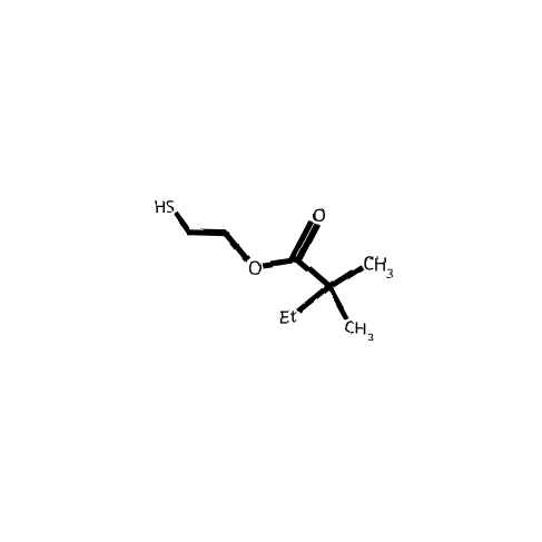 CCC(C)(C)C(=O)OCCS